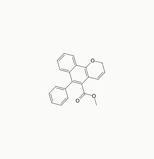 COC(=O)c1c2c(c3ccccc3c1-c1ccccc1)OCC=C2